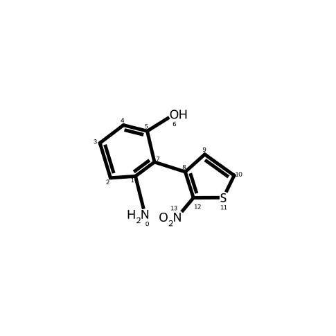 Nc1cccc(O)c1-c1ccsc1[N+](=O)[O-]